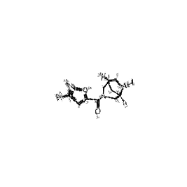 CC(C)c1cc(C(=O)N2C[C@@H]3CN[C@@H](C3)C2)on1